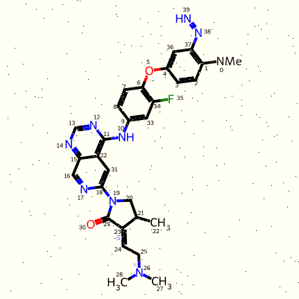 CNc1ccc(Oc2ccc(Nc3ncnc4cnc(N5CC(C)/C(=C\CN(C)C)C5=O)cc34)cc2F)cc1N=N